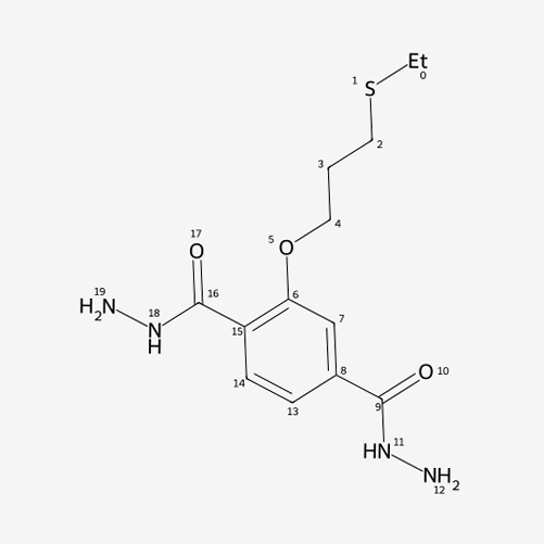 CCSCCCOc1cc(C(=O)NN)ccc1C(=O)NN